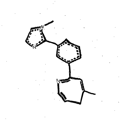 CC1=CC(c2cccc(-c3nccn3C)c2)=NC=CC1